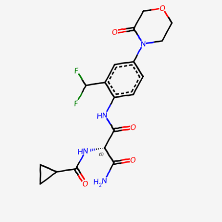 NC(=O)[C@H](NC(=O)C1CC1)C(=O)Nc1ccc(N2CCOCC2=O)cc1C(F)F